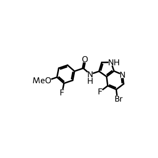 COc1ccc(C(=O)Nc2c[nH]c3ncc(Br)c(F)c23)cc1F